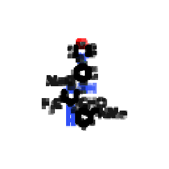 CNCc1cccc(Nc2cc(Nc3ccc(N4CCOCC4)cc3OC)ncc2C(F)(F)F)c1C=O